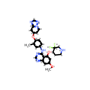 COc1cc(O[C@H]2CCNCC2(F)F)c2c(Nc3ccc(Oc4ccn5ncnc5c4)c(C)c3)ncnc2c1